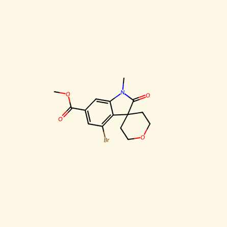 COC(=O)c1cc(Br)c2c(c1)N(C)C(=O)C21CCOCC1